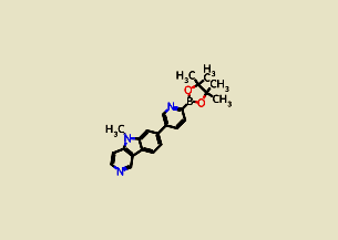 Cn1c2ccncc2c2ccc(-c3ccc(B4OC(C)(C)C(C)(C)O4)nc3)cc21